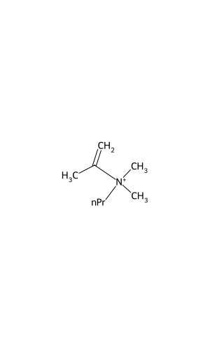 C=C(C)[N+](C)(C)CCC